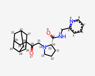 O=C(NCc1ccccn1)[C@@H]1CCCN1CC(=O)C12CC3CC(CC(C3)C1)C2